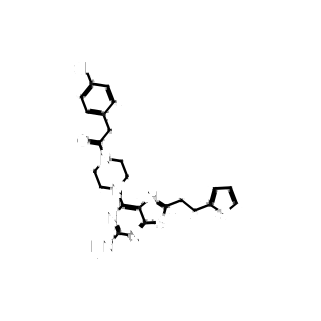 Nc1nc(N2CCN(C(=O)Cc3ccc(Cl)cc3)CC2)c2nc(CCc3cccs3)sc2n1